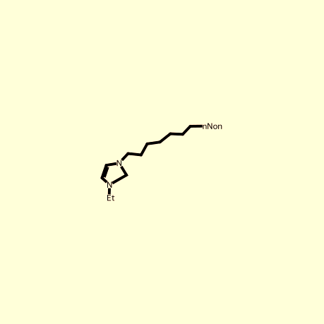 CCCCCCCCCCCCCCCCN1C=CN(CC)C1